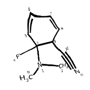 CN(C)C1(F)C=CC=CC1C#N